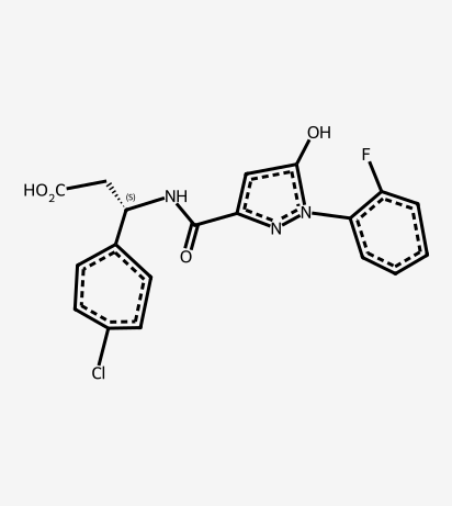 O=C(O)C[C@H](NC(=O)c1cc(O)n(-c2ccccc2F)n1)c1ccc(Cl)cc1